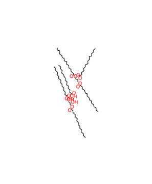 CCCCCCCCCCCCCCCC(=O)O.CCCCCCCCCCCCCCCC(=O)O.CCCCCCCCCCCCCCCC(=O)OCC(COC(=O)CCCCCCCCCCCCCCC)OC(=O)CCCCCCCCCCCCCCC.CCCCCCCCCCCCCCCC(=O)OCC(O)CO